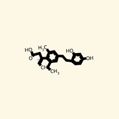 C/C=C(/CC(=O)O)c1c(C)cc(CCc2ccc(O)cc2O)cc1CC